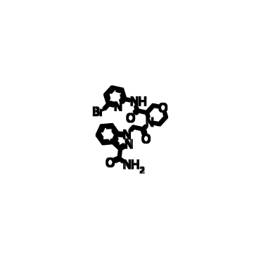 NC(=O)c1nn(CC(=O)N2CCOCC2C(=O)Nc2cccc(Br)n2)c2ccccc12